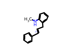 CNc1ccccc1C/C=C/c1ccccc1